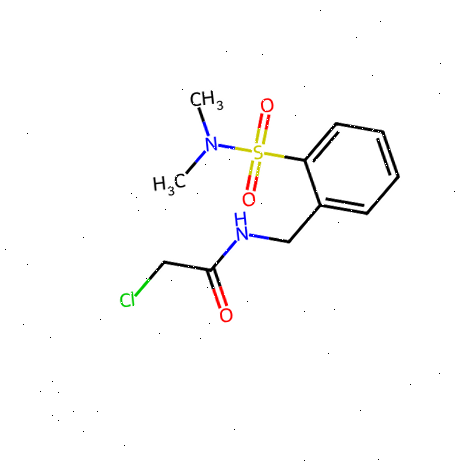 CN(C)S(=O)(=O)c1ccccc1CNC(=O)CCl